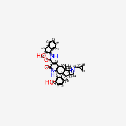 Cc1ccc(O)cc1[C@@]12Cc3[nH]c(=O)c(C(=O)N[C@H]4c5ccccc5C[C@H]4O)cc3C[C@H]1[C@H]1C(CN1CC1CC1)C2